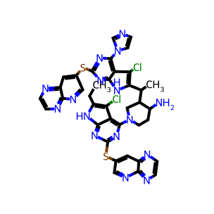 CCc1[nH]c2nc(Sc3cnc4nccnc4c3)nc(N3CCC(N)C(C(C)c4[nH]c5nc(Sc6cnc7nccnc7c6)nc(-n6ccnc6)c5c4Cl)C3)c2c1Cl